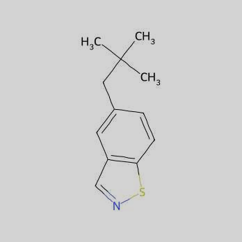 CC(C)(C)Cc1ccc2sncc2c1